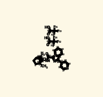 CC1(C)C2CC[C@@]1(C)[C@@H](NC(=O)c1nc(-c3ccncc3)c3ccccn13)C2.O=C(O)C(F)(F)F.O=C(O)C(F)(F)F